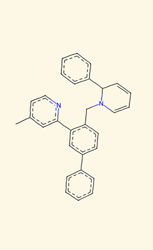 Cc1ccnc(-c2cc(-c3ccccc3)ccc2CN2C=CC=CC2c2ccccc2)c1